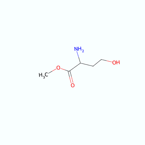 COC(=O)C(N)CCO